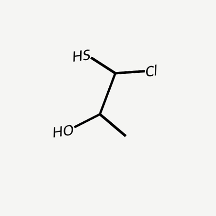 CC(O)C(S)Cl